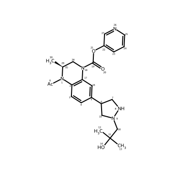 CC(=O)N1c2ccc(C3CNN(CC(C)(C)O)C3)cc2N(C(=O)Oc2cccnc2)C[C@@H]1C